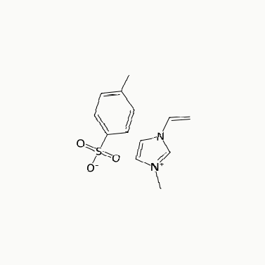 C=Cn1cc[n+](C)c1.Cc1ccc(S(=O)(=O)[O-])cc1